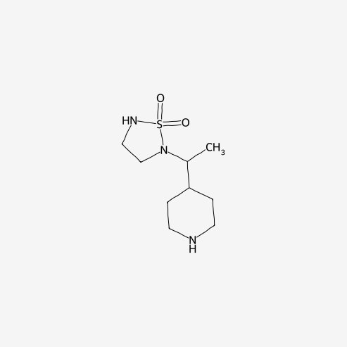 CC(C1CCNCC1)N1CCNS1(=O)=O